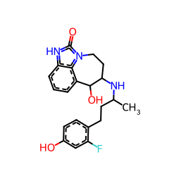 CC(CCc1ccc(O)cc1F)NC1CCn2c(=O)[nH]c3cccc(c32)C1O